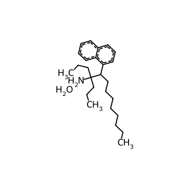 CCCCCCCCC(c1cccc2ccccc12)C(N)(CCC)CCC.O